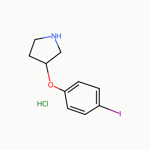 Cl.Ic1ccc(OC2CCNC2)cc1